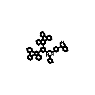 c1ccc(-c2nc(-c3ccc(-c4cncc5ccccc45)cc3)cc(-c3cc(-c4cc5c6ccccc6c6ccccc6c5c5ccccc45)cc(-c4cc5c6ccccc6c6ccccc6c5c5ccccc45)c3)n2)cc1